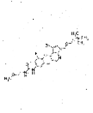 COCCNC(=O)Nc1cc(F)c(Oc2ccnc3c2c(Br)cn3COCC[Si](C)(C)C)c(F)c1